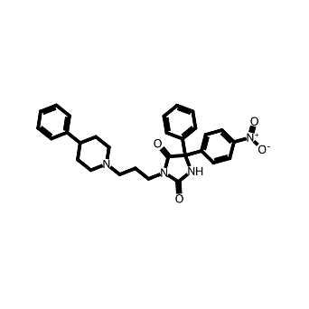 O=C1NC(c2ccccc2)(c2ccc([N+](=O)[O-])cc2)C(=O)N1CCCN1CCC(c2ccccc2)CC1